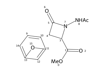 COC(=O)C1CC(=O)N1NC(C)=O.c1cc2cc(c1)O2